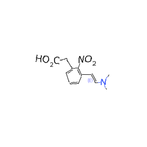 CN(C)/C=C/c1cccc(CC(=O)O)c1[N+](=O)[O-]